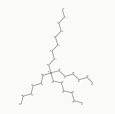 CCCCCCCCC[N+](CCCCCC)(CCCCCC)CCCCCC